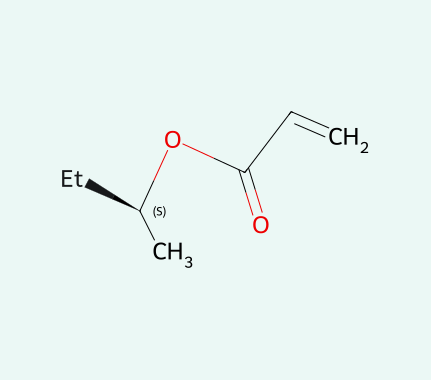 C=CC(=O)O[C@@H](C)CC